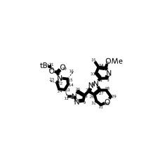 COc1ncc(-n2nc(-c3cnn(C[C@H]4C[C@@H](C)N(C(=O)OC(C)(C)C)[C@@H](C)C4)c3)c3c2CCOCC3)cc1C